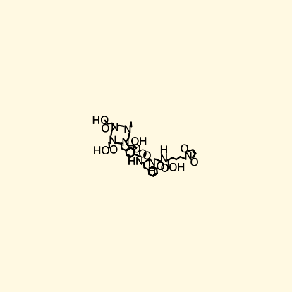 CCN1CCN(CC(=O)O)CCN(CC(=O)O)CC(Cc2ccc(C(=O)NC(Cc3ccccc3)C(=O)NCC(=O)NC(CCCCN3C(=O)C=CC3=O)C(=O)O)cc2)N(CC(=O)O)CC1